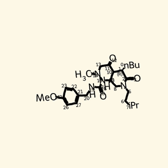 CCCC[C@H]1C(=O)N(CCC(C)C)C[C@H]2C1C(=O)CN(C)N2C(=O)NCc1ccc(OC)cc1